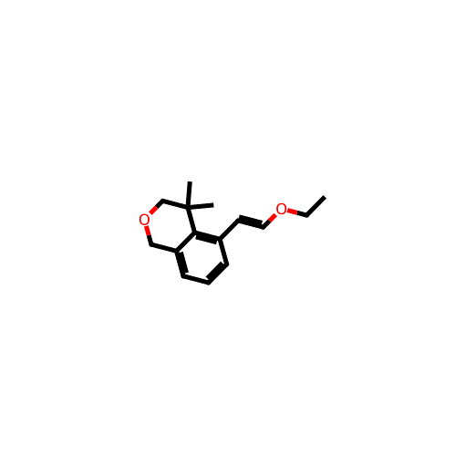 CCO/C=C/c1cccc2c1C(C)(C)COC2